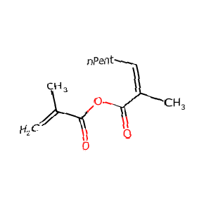 C=C(C)C(=O)OC(=O)C(C)=CCCCCC